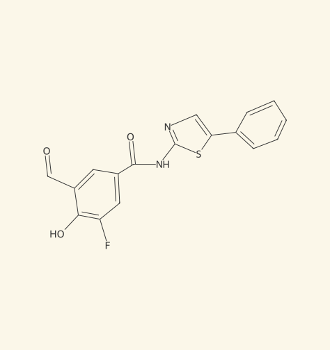 O=Cc1cc(C(=O)Nc2ncc(-c3ccccc3)s2)cc(F)c1O